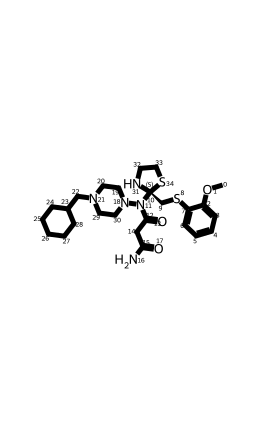 COc1ccccc1SC[C@@]1(N(C(=O)CC(N)=O)N2CCN(CC3CCCCC3)CC2)NCCS1